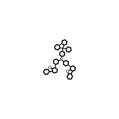 c1ccc(C2(c3ccc(N(c4ccc(-c5cccc6c5oc5ccccc56)cc4)c4cccc(-c5cccc6c5oc5ccccc56)c4)cc3)c3ccccc3-c3ccccc32)cc1